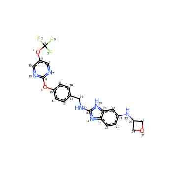 FC(F)(F)Oc1cnc(Oc2ccc(CNc3nc4ccc(NC5COC5)cc4[nH]3)cc2)nc1